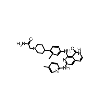 Cc1ccc(Nc2cc3cc[nH]c(=O)c3c(Nc3ccc(C4CCN(CC(N)=O)CC4)c(C)c3)n2)nc1